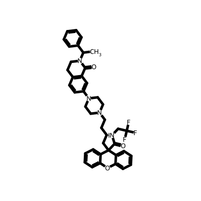 CC(c1ccccc1)N1CCc2ccc(N3CCN(CCCCC4(C(=O)NCC(F)(F)F)c5ccccc5Oc5ccccc54)CC3)cc2C1=O